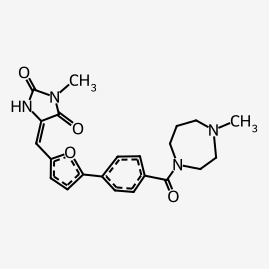 CN1CCCN(C(=O)c2ccc(-c3ccc(C=C4NC(=O)N(C)C4=O)o3)cc2)CC1